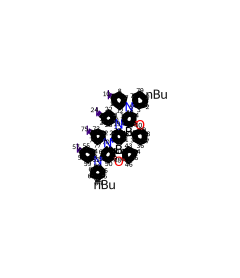 CCCCc1ccc(N(c2ccc(I)cc2)c2cc3c4c(c2)N(c2ccc(I)cc2)c2cc5c(cc2B4c2ccccc2O3)B2c3ccccc3Oc3cc(N(c4ccc(I)cc4)c4ccc(CCCC)cc4)cc(c32)N5c2ccc(I)cc2)cc1